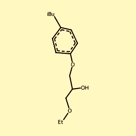 CCOCC(O)COc1ccc(C(C)CC)cc1